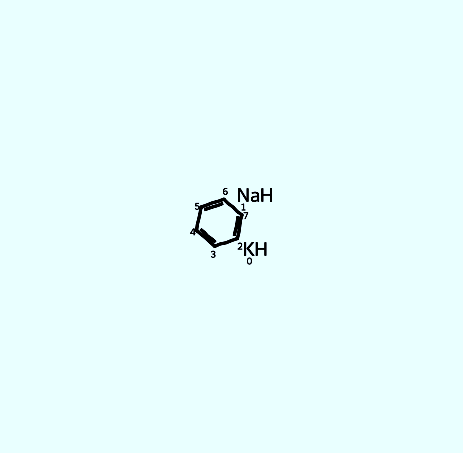 [KH].[NaH].c1ccccc1